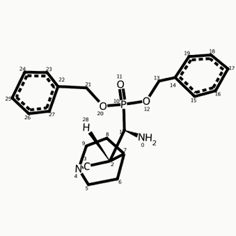 N[C@@H]([C@H]1CN2CCC1CC2)P(=O)(OCc1ccccc1)OCc1ccccc1